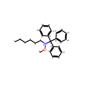 CCCCCCN(OC)C(c1ccccc1)(c1ccccc1)c1ccccc1